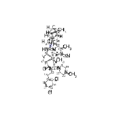 C[C@@H]1[C@@H](/N=C(/Nc2ccc3c(=O)n(CCc4ccc(Cl)cc4Cl)c(N4CCN(C)CC4)nc3c2)N2C[C@@H](C)N(C#N)[C@@H](C)C2)C[C@@H]2C[C@H]1C2(C)C